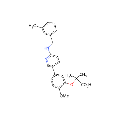 COc1ccc(-c2ccc(NCc3cccc(C)c3)nc2)cc1OC(C)(C)C(=O)O